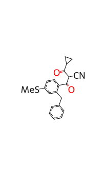 CSc1ccc(C(=O)C(C#N)C(=O)C2CC2)c(Cc2ccccc2)c1